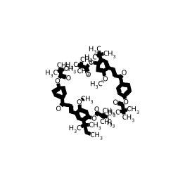 CCC(C)(C)c1cc(C=CC(=O)c2ccc(OC(=O)C(C)(C)C)cc2)c(OC)cc1OC(=O)C(C)(C)C.COc1cc(OC(=O)C(C)(C)C)c(C(C)(C)C)cc1C=CC(=O)c1ccc(OC(=O)C(C)(C)C)cc1